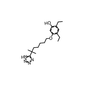 CCc1cc(CC)c(OCCCCCC(C)(C)c2nnn[nH]2)cc1O